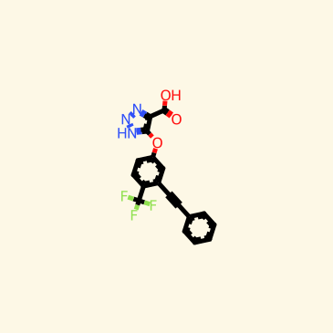 O=C(O)c1nn[nH]c1Oc1ccc(C(F)(F)F)c(C#Cc2ccccc2)c1